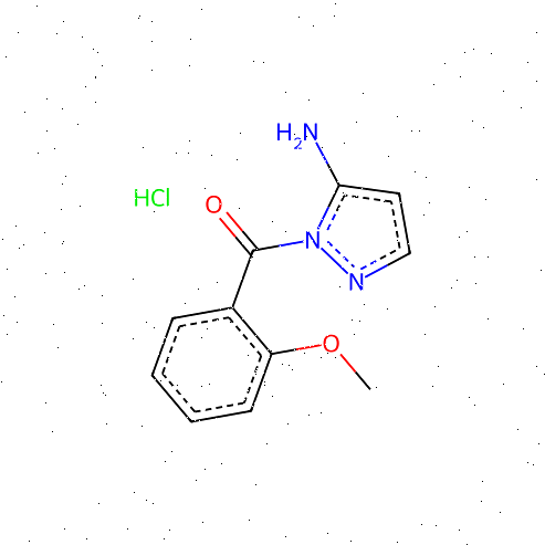 COc1ccccc1C(=O)n1nccc1N.Cl